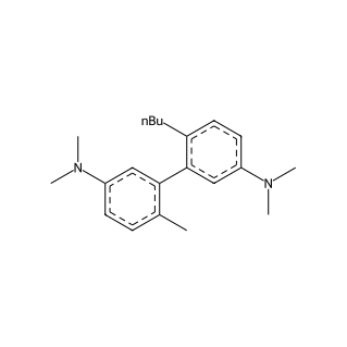 CCCCc1ccc(N(C)C)cc1-c1cc(N(C)C)ccc1C